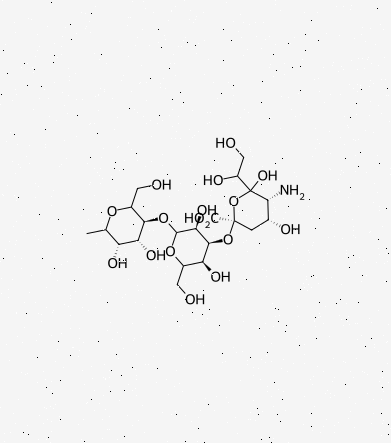 CC1OC(CO)[C@@H](OC2OC(CO)[C@H](O)[C@H](O[C@]3(C(=O)O)C[C@@H](O)[C@@H](N)C(O)(C(O)CO)O3)[C@@H]2O)[C@H](O)[C@@H]1O